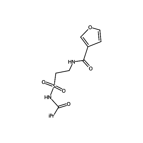 CC(C)C(=O)NS(=O)(=O)CCNC(=O)c1ccoc1